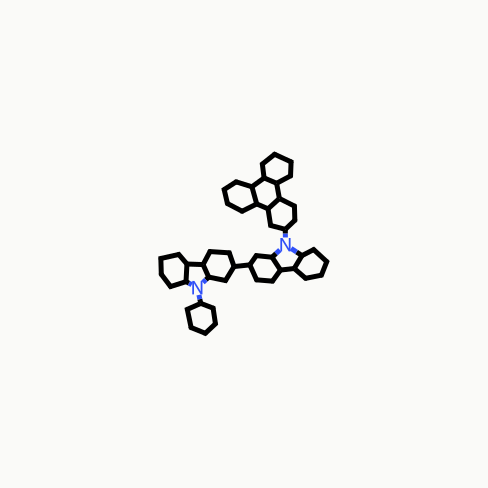 C1CCC(N2C3CCCCC3C3CCC(C4CCC5C6CCCCC6N(C6CCC7C8CCCCC8C8CCCCC8C7C6)C5C4)CC32)CC1